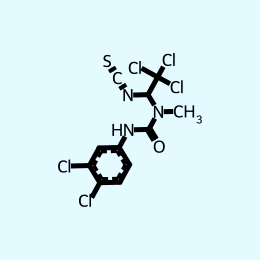 CN(C(=O)Nc1ccc(Cl)c(Cl)c1)C(N=C=S)C(Cl)(Cl)Cl